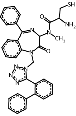 CN(C(=O)C(N)CS)C1N=C(c2ccccc2)c2ccccc2N(Cn2nnnc2-c2ccccc2-c2ccccc2)C1=O